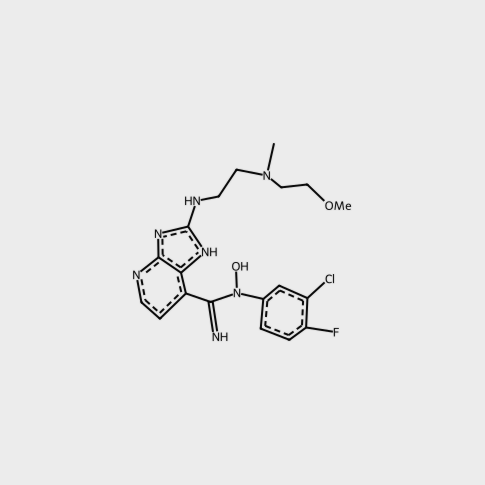 COCCN(C)CCNc1nc2nccc(C(=N)N(O)c3ccc(F)c(Cl)c3)c2[nH]1